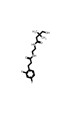 CC(C)(CO)CC(=O)NCCNC(=O)CCc1ccc(F)cc1F